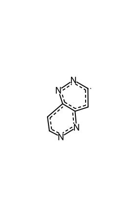 [c]1cc2nnccc2nn1